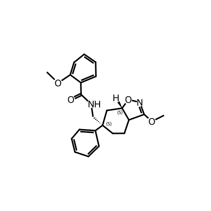 COC1=NO[C@H]2C[C@](CNC(=O)c3ccccc3OC)(c3ccccc3)CCC12